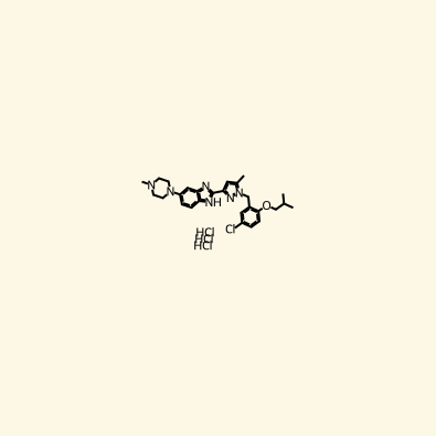 Cc1cc(-c2nc3cc(N4CCN(C)CC4)ccc3[nH]2)nn1Cc1cc(Cl)ccc1OCC(C)C.Cl.Cl.Cl